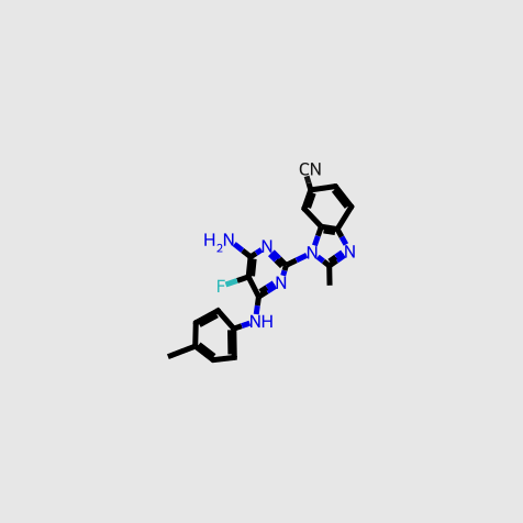 Cc1ccc(Nc2nc(-n3c(C)nc4ccc(C#N)cc43)nc(N)c2F)cc1